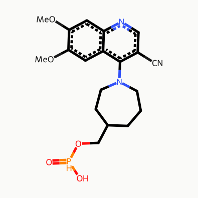 COc1cc2ncc(C#N)c(N3CCCC(CO[PH](=O)O)CC3)c2cc1OC